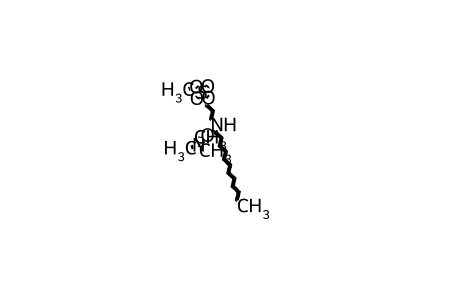 CCCCCCCCCCCC(=O)NCCCOS(=O)(=O)OC.CN(C)C